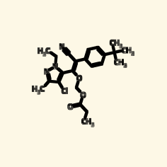 CCC(=O)OCO/C(=C(/C#N)c1ccc(C(C)(C)C)cc1)c1c(Cl)c(C)nn1CC